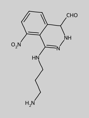 NCCCNC1=NNC(C=O)c2cccc([N+](=O)[O-])c21